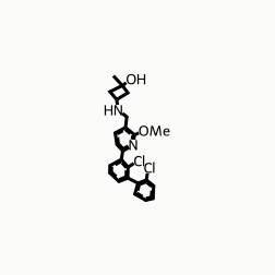 COc1nc(-c2cccc(-c3ccccc3Cl)c2Cl)ccc1CNC1CC(C)(O)C1